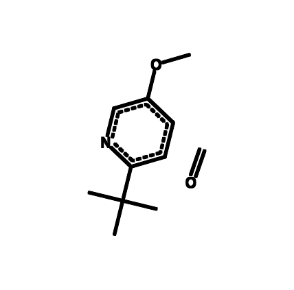 C=O.COc1ccc(C(C)(C)C)nc1